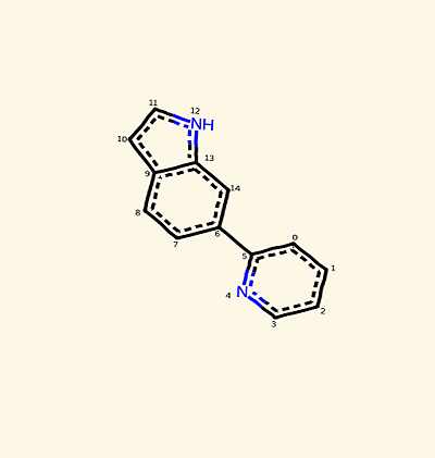 [c]1cccnc1-c1ccc2cc[nH]c2c1